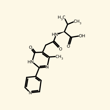 Cc1nc(-c2ccncc2)[nH]c(=O)c1CC(=O)N[C@H](C(=O)O)C(C)C